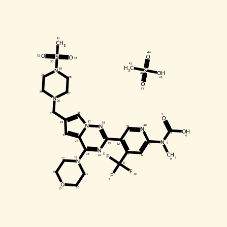 CN(C(=O)O)c1cc(C(F)(F)F)c(-c2nc(N3CCOCC3)c3cc(CN4CCN(S(C)(=O)=O)CC4)cn3n2)cn1.CS(=O)(=O)O